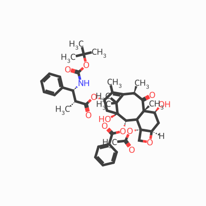 CC(=O)O[C@@]12CO[C@@H]1C[C@H](O)[C@@]1(C)C(=O)[C@H](C)C3=C(C)[C@@H](OC(=O)[C@H](C)[C@@H](NC(=O)OC(C)(C)C)c4ccccc4)C[C@@](O)([C@@H](OC(=O)c4ccccc4)C12)C3(C)C